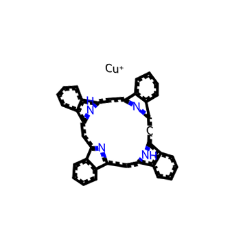 [Cu+].c1ccc2c(c1)-c1cc3[nH]c(cc4nc(cc5[nH]c(cc-2n1)c1ccccc51)-c1ccccc1-4)c1ccccc31